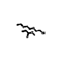 C=CC(=O)OC.CCOCCOCCO